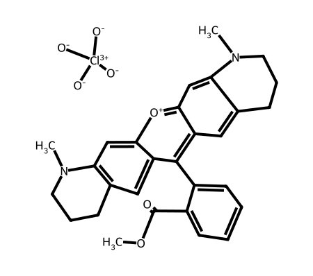 COC(=O)c1ccccc1-c1c2cc3c(cc2[o+]c2cc4c(cc12)CCCN4C)N(C)CCC3.[O-][Cl+3]([O-])([O-])[O-]